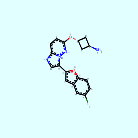 N[C@H]1C[C@H](Oc2ccc3ncc(-c4cc5cc(F)ccc5o4)n3n2)C1